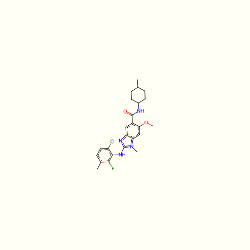 COc1cc2c(cc1C(=O)NC1CCC(C)CC1)nc(Nc1c(Cl)ccc(C)c1F)n2C